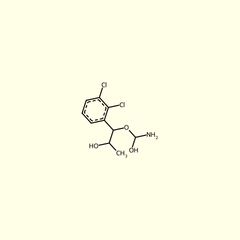 CC(O)C(OC(N)O)c1cccc(Cl)c1Cl